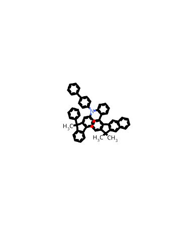 CC1(C)c2cc3ccccc3cc2-c2c(-c3ccccc3N(c3ccc(-c4ccccc4)cc3)c3ccc4c(c3)C(C)(c3ccccc3)c3ccccc3-4)cccc21